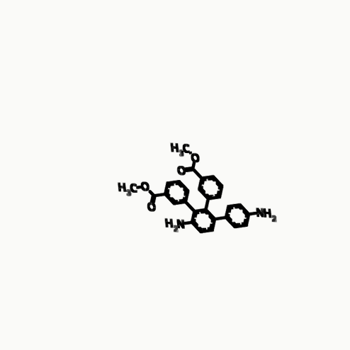 COC(=O)c1cccc(-c2c(N)ccc(-c3ccc(N)cc3)c2-c2cccc(C(=O)OC)c2)c1